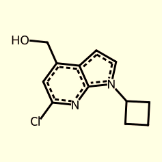 OCc1cc(Cl)nc2c1ccn2C1CCC1